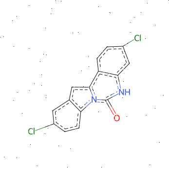 O=c1[nH]c2cc(Cl)ccc2c2cc3cc(Cl)ccc3n12